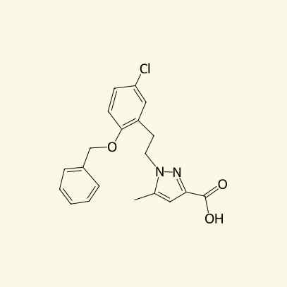 Cc1cc(C(=O)O)nn1CCc1cc(Cl)ccc1OCc1ccccc1